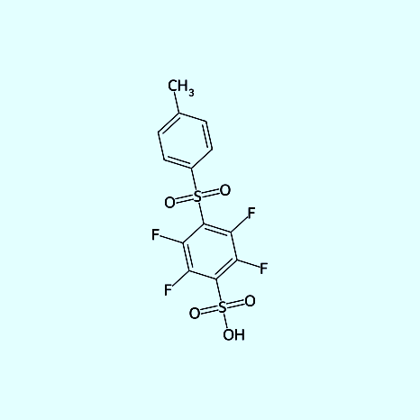 Cc1ccc(S(=O)(=O)c2c(F)c(F)c(S(=O)(=O)O)c(F)c2F)cc1